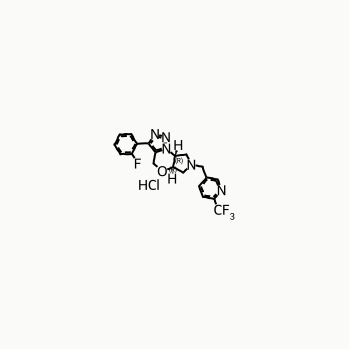 Cl.Fc1ccccc1-c1nnn2c1CO[C@@H]1CN(Cc3ccc(C(F)(F)F)nc3)C[C@H]12